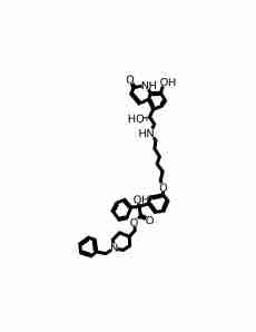 O=C(OCC1CCN(Cc2ccccc2)CC1)C(O)(c1ccccc1)c1cccc(OCCCCCCNC[C@H](O)c2ccc(O)c3[nH]c(=O)ccc23)c1